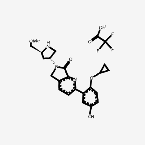 COC[C@@H]1C[C@@H](N2Cc3ccc(-c4cc(C#N)ccc4OC4CC4)nc3C2=O)CN1.O=C(O)C(F)(F)F